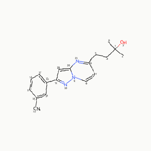 CC(C)(O)CCc1ccn2nc(-c3cccc(C#N)c3)cc2n1